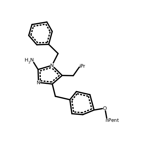 CCCCCOc1ccc(Cc2nc(N)n(Cc3ccccc3)c2CC(C)C)cc1